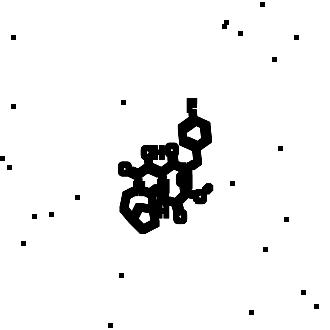 COC(=O)C(=O)NC12CCC(CCn3c1nc(C(=O)NCc1ccc(F)cc1)c(O)c3=O)C2